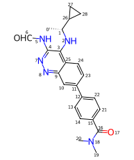 C[C@@H](Nc1c(NC=O)nnc2cc(-c3ccc(C(=O)N(C)C)cc3)ccc12)C1CC1